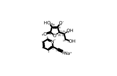 C#Cc1ccccn1.O=C1O[C@H]([C@@H](O)CO)C([O-])=C1O.[Na+]